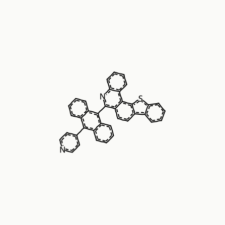 c1ccc2c(c1)nc(-c1c3ccccc3c(-c3ccncc3)c3ccccc13)c1ccc3c4ccccc4sc3c12